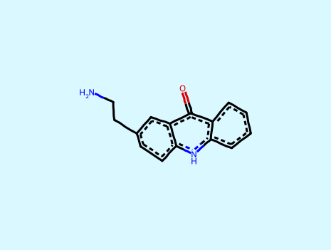 NCCc1ccc2[nH]c3ccccc3c(=O)c2c1